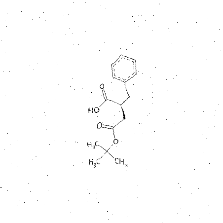 CC(C)(C)OC(=O)C[C@H](Cc1ccccc1)C(=O)O